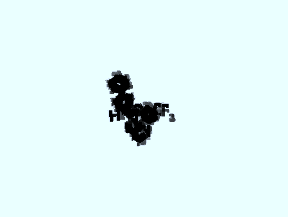 O=C(Nc1ccc(-c2ccccc2)cc1)N1CCc2cccnc2[C@H]1c1ccc(C(F)(F)F)cc1